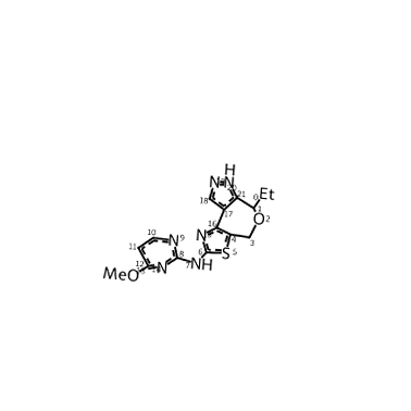 CCC1OCc2sc(Nc3nccc(OC)n3)nc2-c2cn[nH]c21